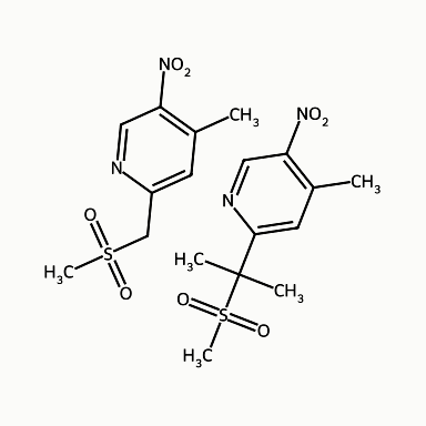 Cc1cc(C(C)(C)S(C)(=O)=O)ncc1[N+](=O)[O-].Cc1cc(CS(C)(=O)=O)ncc1[N+](=O)[O-]